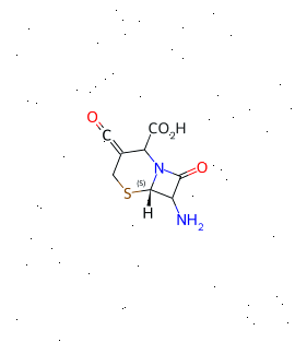 NC1C(=O)N2C(C(=O)O)C(=C=O)CS[C@@H]12